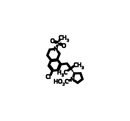 CC(C)(Cc1cc(Cl)cc2c1CN(S(C)(=O)=O)CC2)[C@@H]1CCCN1C(=O)O